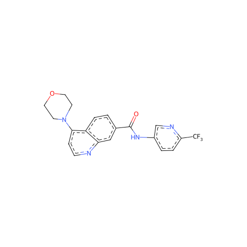 O=C(Nc1ccc(C(F)(F)F)nc1)c1ccc2c(N3CCOCC3)ccnc2c1